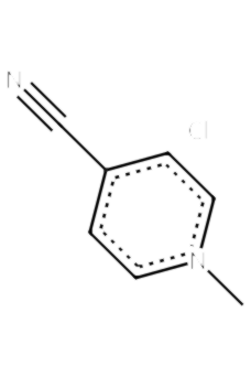 C[n+]1ccc(C#N)cc1.[Cl-]